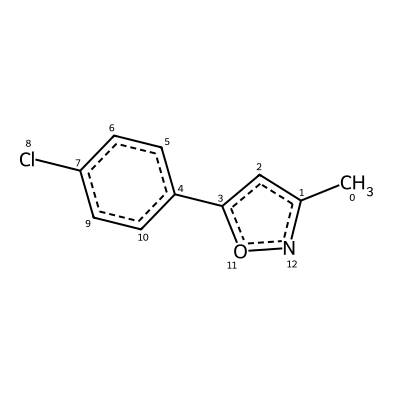 Cc1cc(-c2ccc(Cl)cc2)on1